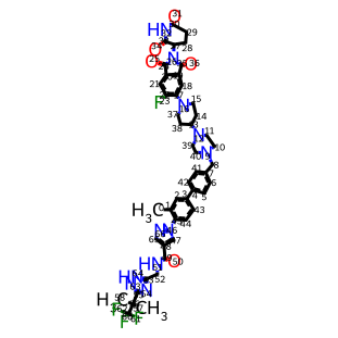 Cc1cc(-c2ccc(CN3CCN(C4CCN(c5cc6c(cc5F)C(=O)N(C5CCC(=O)NC5=O)C6=O)CC4)CC3)cc2)ccc1-n1cc(C(=O)NCc2nc(C(C)(C)C(F)(F)F)n[nH]2)cn1